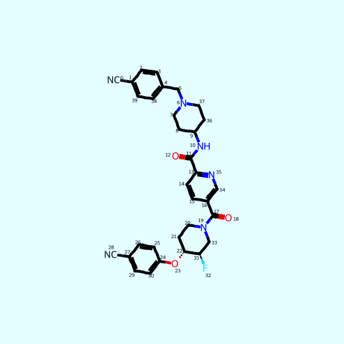 N#Cc1ccc(CN2CCC(NC(=O)c3ccc(C(=O)N4CC[C@@H](Oc5ccc(C#N)cc5)[C@H](F)C4)cn3)CC2)cc1